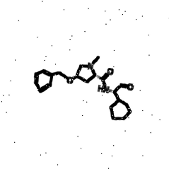 CN1C[C@H](OCc2ccccc2)C[C@H]1C(=O)N[C@H](C=O)C1CCCCC1